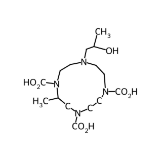 CC(O)CN1CCN(C(=O)O)CCN(C(=O)O)CC(C)N(C(=O)O)CC1